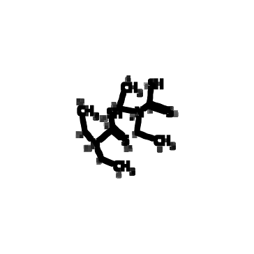 CCN(CC)C(=S)S.CCN(CC)C(=S)S